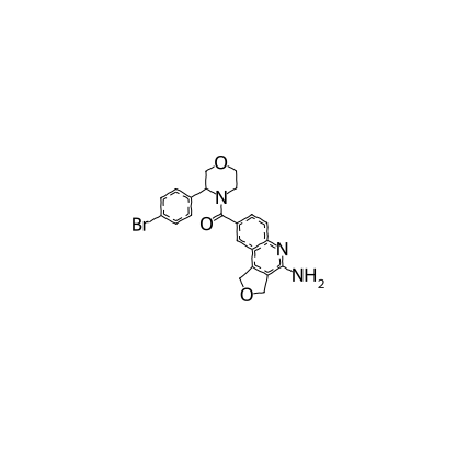 Nc1nc2ccc(C(=O)N3CCOCC3c3ccc(Br)cc3)cc2c2c1COC2